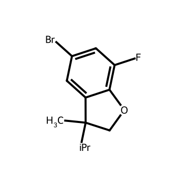 CC(C)C1(C)COc2c(F)cc(Br)cc21